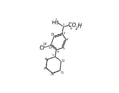 O=C(O)C(S)c1ccc(C2CCCCC2)c(Cl)c1